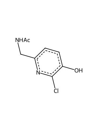 CC(=O)NCc1ccc(O)c(Cl)n1